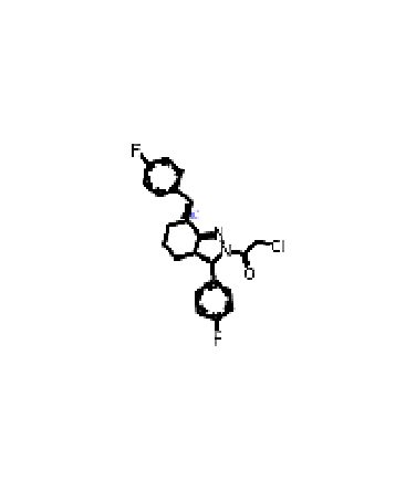 O=C(CCl)N1N=C2/C(=C/c3ccc(F)cc3)CCCC2C1c1ccc(F)cc1